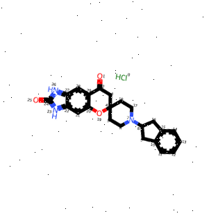 Cl.O=C1CC2(CCN(C3Cc4ccccc4C3)CC2)Oc2cc3[nH]c(=O)[nH]c3cc21